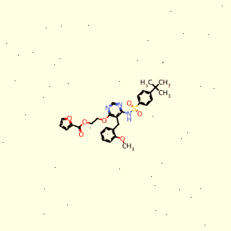 COc1ccccc1Cc1c(NS(=O)(=O)c2ccc(C(C)(C)C)cc2)ncnc1OCCOC(=O)c1ccco1